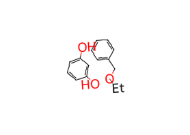 CCOCc1ccccc1.Oc1cccc(O)c1